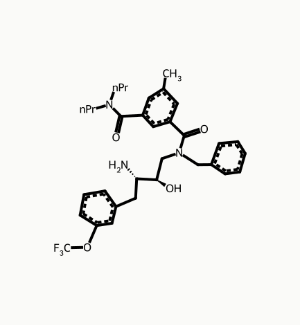 CCCN(CCC)C(=O)c1cc(C)cc(C(=O)N(Cc2ccccc2)C[C@@H](O)[C@@H](N)Cc2cccc(OC(F)(F)F)c2)c1